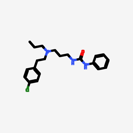 CCCN(CCCNC(=O)Nc1ccccc1)CCc1ccc(Cl)cc1